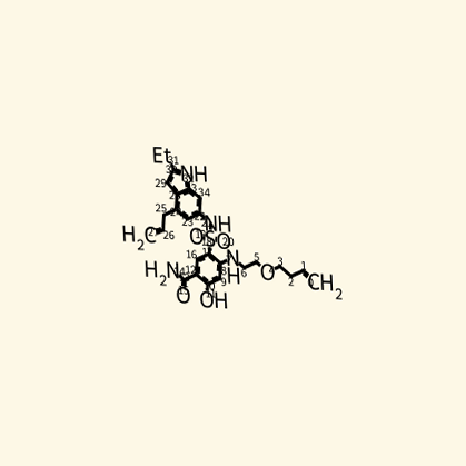 C=CCCOCCNc1cc(O)c(C(N)=O)cc1S(=O)(=O)Nc1cc(CC=C)c2cc(CC)[nH]c2c1